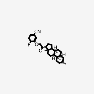 C[C@H]1CC[C@@]2(F)[C@H](CC[C@H]3C4CC[C@H](C(=O)COC5=CC(C#N)=CCC5F)[C@@]4(C)CC[C@@H]32)C1